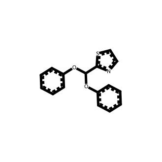 [c]1csc(C(Oc2ccccc2)Oc2ccccc2)n1